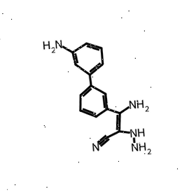 N#C/C(NN)=C(/N)c1cccc(-c2cccc(N)c2)c1